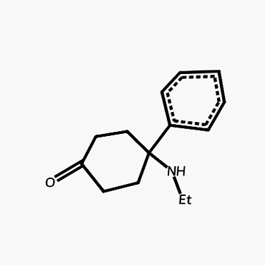 CCNC1(c2ccccc2)CCC(=O)CC1